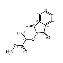 BOC(=O)[C@@H](C)ON1C(=O)c2ccccc2C1=O